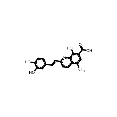 Cc1cc(C(=O)O)c(O)c2nc(/C=C/c3ccc(O)c(O)c3)ccc12